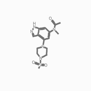 CC(=O)N(C)c1cc(N2CCN(S(C)(=O)=O)CC2)c2cn[nH]c2c1